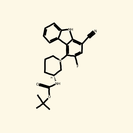 CC(C)(C)OC(=O)N[C@@H]1CCCN(c2c(F)cc(C#N)c3[nH]c4ccccc4c23)C1